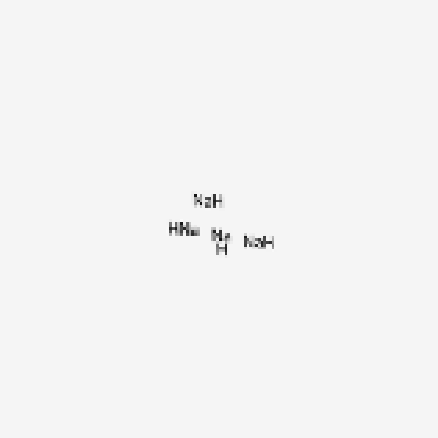 [NaH].[NaH].[NaH].[NaH]